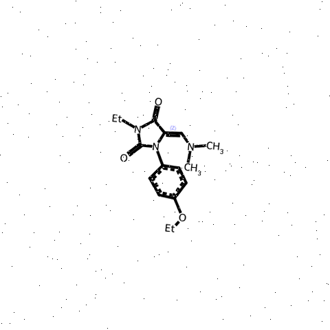 CCOc1ccc(N2C(=O)N(CC)C(=O)/C2=C/N(C)C)cc1